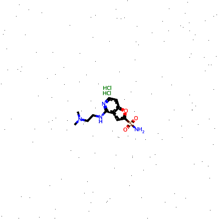 CN(C)CCNc1nccc2oc(S(N)(=O)=O)cc12.Cl.Cl